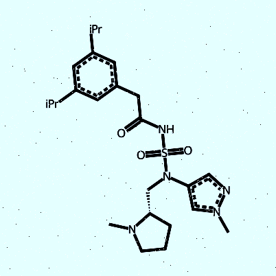 CC(C)c1cc(CC(=O)NS(=O)(=O)N(C[C@@H]2CCCN2C)c2cnn(C)c2)cc(C(C)C)c1